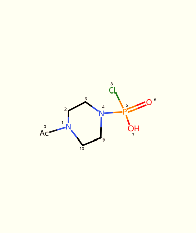 CC(=O)N1CCN(P(=O)(O)Cl)CC1